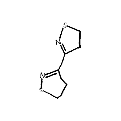 C1CC(C2=NSCC2)=NS1